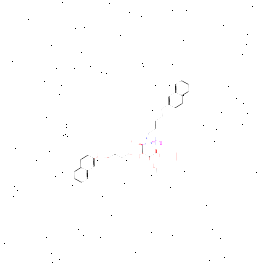 CCOC(C(=O)O)C(OCCCCOc1ccc2ccccc2c1)C(=O)NCCCCCc1ccc2ccccc2c1